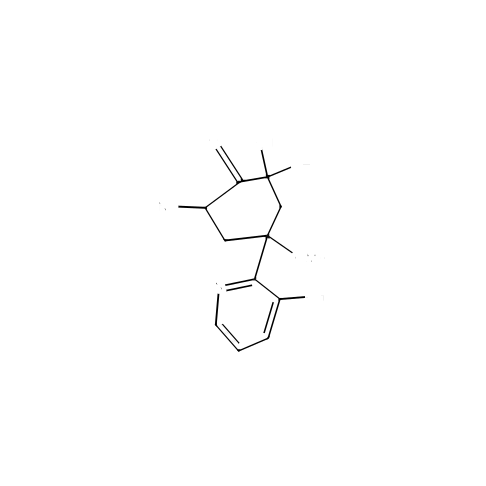 CCCc1cccnc1C1(OC)CC(C#N)C(=O)C(C)(C)C1